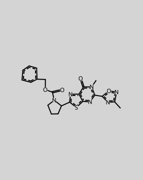 Cc1noc(-c2nc3sc(C4CCCN4C(=O)OCc4ccccc4)nc3c(=O)n2C)n1